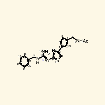 CC(=O)NCc1ccc(-c2csc(/N=C(\N)NCc3ccccc3)n2)s1